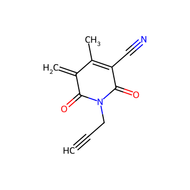 C#CCN1C(=O)C(=C)C(C)=C(C#N)C1=O